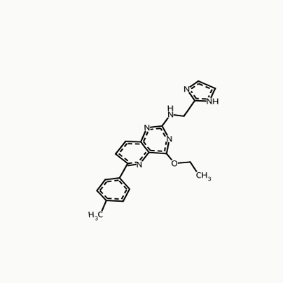 CCOc1nc(NCc2ncc[nH]2)nc2ccc(-c3ccc(C)cc3)nc12